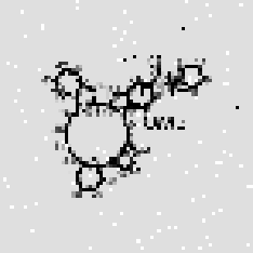 COc1cc(C(=O)N2CC3CCC2C3N)cc2nc3n(c12)Cc1cncc(c1)-c1ccccc1CCCCn1c-3cc2cccnc21